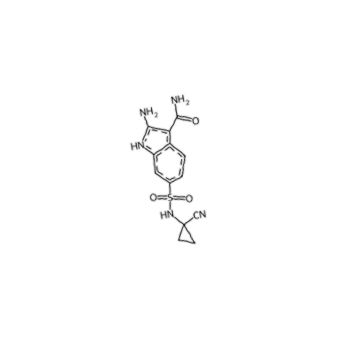 N#CC1(NS(=O)(=O)c2ccc3c(C(N)=O)c(N)[nH]c3c2)CC1